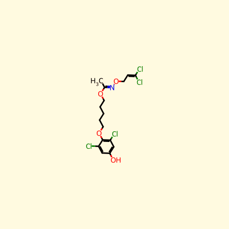 CC(=NOCC=C(Cl)Cl)OCCCCCOc1c(Cl)cc(O)cc1Cl